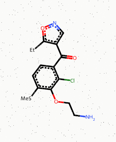 CCc1oncc1C(=O)c1ccc(SC)c(OCCN)c1Cl